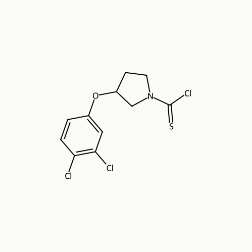 S=C(Cl)N1CCC(Oc2ccc(Cl)c(Cl)c2)C1